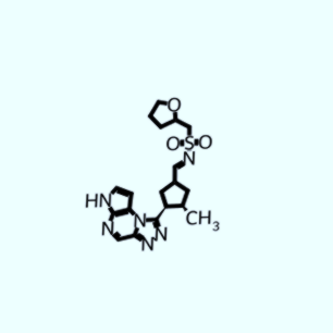 C[C@@H]1CC(/C=N/S(=O)(=O)CC2CCCO2)C[C@@H]1c1nnc2cnc3[nH]ccc3n12